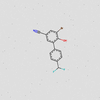 N#Cc1cc(Br)c(O)c(-c2ccc(C(F)F)cc2)c1